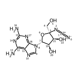 [N-]=[N+]=N[C@]1(CO)O[C@@H](n2cnc3c(N)nc(N)nc32)[C@H](O)[C@@H]1O